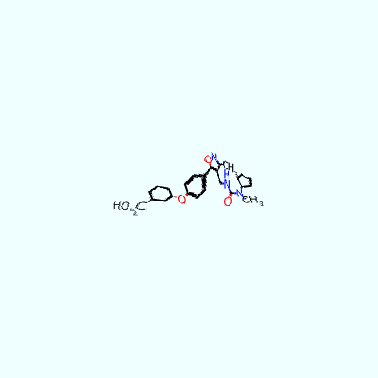 Cc1noc(-c2ccc(O[C@H]3CCC[C@H](C(=O)O)C3)cc2)c1CNC(=O)N(C)C1CCCC1